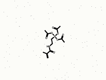 C=C(C)C(=O)NCC[Si](OC(C)=O)(OC(C)=O)OC(C)=O